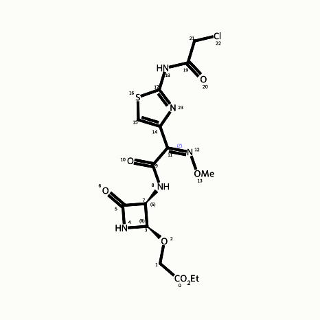 CCOC(=O)CO[C@H]1NC(=O)[C@H]1NC(=O)/C(=N\OC)c1csc(NC(=O)CCl)n1